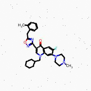 Cc1ccccc1Cc1nc(-c2cn(CC3CCCCC3)c3cc(N4CCN(C)CC4)c(F)cc3c2=O)no1